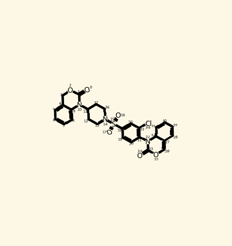 O=C1OCc2ccccc2N1C1CCN(S(=O)(=O)c2ccc(N3C(=O)OC=C4C=CC=CC43)c(Cl)c2)CC1